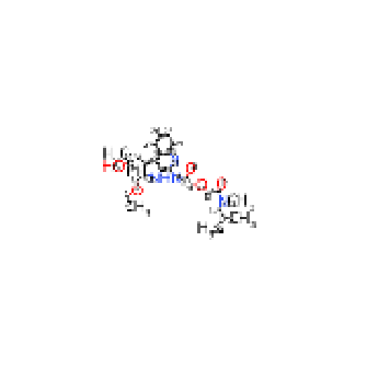 CCOCC1=Nc2c(NC(=O)COCC(=O)N(C)CC(C)C)nc3ccccc3c2C1CC(C)(C)O